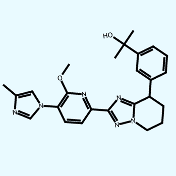 COc1nc(-c2nc3n(n2)CCCC3c2cccc(C(C)(C)O)c2)ccc1-n1cnc(C)c1